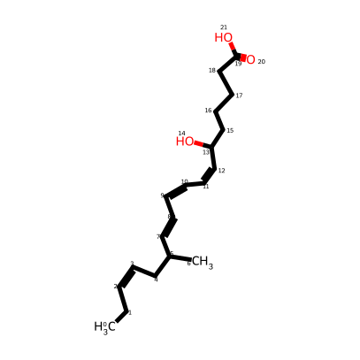 CC/C=C\CC(C)/C=C/C=C\C=C/C(O)CCCCC(=O)O